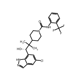 CC(C)(C1CCN(C(=O)Nc2ccccc2C(F)(F)F)CC1)[C@@H](O)c1cc(Cl)cc2cn[nH]c12